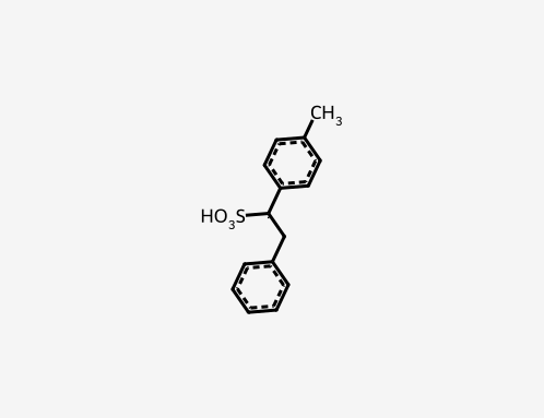 Cc1ccc([C](Cc2ccccc2)S(=O)(=O)O)cc1